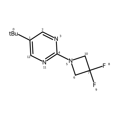 CC(C)(C)c1cnc(N2CC(F)(F)C2)nc1